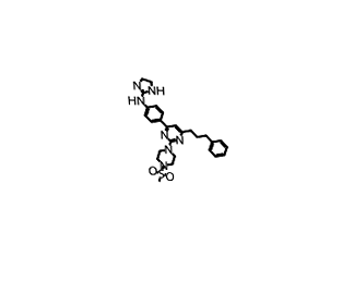 CS(=O)(=O)N1CCN(c2nc(CCCc3ccccc3)cc(-c3ccc(NC4=NCCN4)cc3)n2)CC1